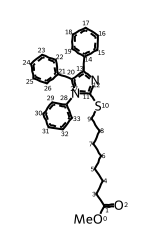 COC(=O)CCCCCCCSc1nc(-c2ccccc2)c(-c2ccccc2)n1-c1ccccc1